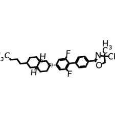 CCCCC1CC[C@@H]2C[C@H](c3cc(F)c(-c4ccc(C5=NC(C)(C)CO5)cc4)c(F)c3)CC[C@@H]2C1